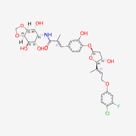 C/C(=C\c1ccc(O[C@H]2C[C@H](O)[C@@H](/C(C)=C/COc3ccc(Cl)c(F)c3)O2)c(O)c1)C(=O)N[C@@H]1[C@H](O)[C@@H](O)[C@H]2OCO[C@H]2[C@@H]1O